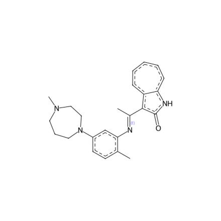 C/C(=N\c1cc(N2CCCN(C)CC2)ccc1C)c1c2cccccc-2[nH]c1=O